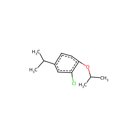 C[C](C)c1ccc(OC(C)C)c(Cl)c1